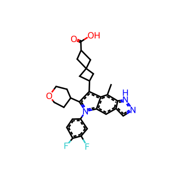 Cc1c2[nH]ncc2cc2c1c(C1CC3(CC(C(=O)O)C3)C1)c(C1CCOCC1)n2-c1ccc(F)c(F)c1